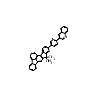 CC1(C)c2cc(-c3ccc(-c4cnc5ccccc5c4)nc3)ccc2-c2c1cc1c3c(cccc23)-c2ccccc2-1